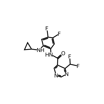 O=C(Nc1cc(F)c(F)cc1NC1CC1)c1cncnc1C(F)F